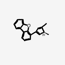 CC1=CC(c2cccc3c2oc2ccccc23)=C[C@@H]1C